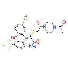 CC(=O)N1CCN(C(=O)CSc2c(-c3cc(Cl)ccc3O)c3cc(C(F)(F)F)ccc3[nH]c2=O)CC1